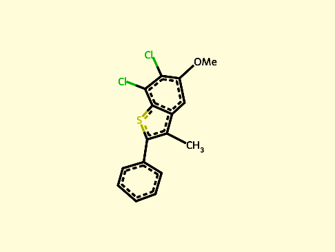 COc1cc2c(C)c(-c3ccccc3)sc2c(Cl)c1Cl